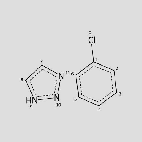 Clc1ccccc1.c1c[nH]nn1